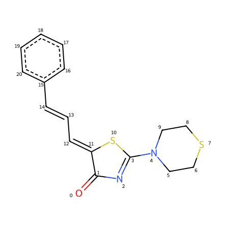 O=C1N=C(N2CCSCC2)SC1=CC=Cc1ccccc1